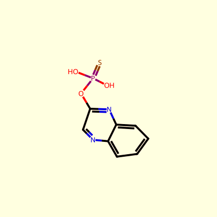 OP(O)(=S)Oc1cnc2ccccc2n1